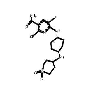 NC(=O)c1cc(F)c(N[C@H]2CC[C@H](NC3CCS(=O)(=O)CC3)CC2)nc1Cl